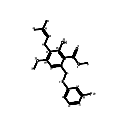 COC(=O)c1c(CSc2cccc(F)c2)cc(OC)c(CC=C(C)C)c1O